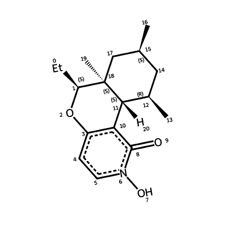 CC[C@@H]1Oc2ccn(O)c(=O)c2[C@H]2[C@H](C)C[C@H](C)C[C@]12C